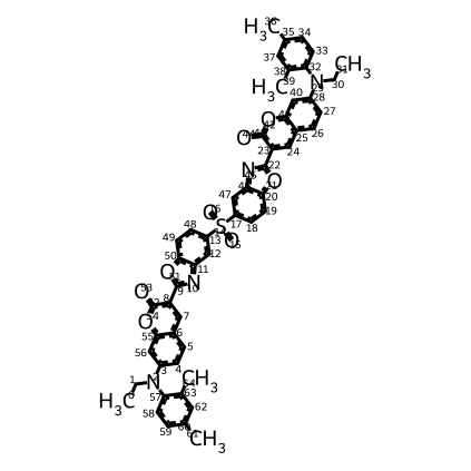 CCN(c1ccc2cc(-c3nc4cc(S(=O)(=O)c5ccc6oc(-c7cc8ccc(N(CC)c9ccc(C)cc9C)cc8oc7=O)nc6c5)ccc4o3)c(=O)oc2c1)c1ccc(C)cc1C